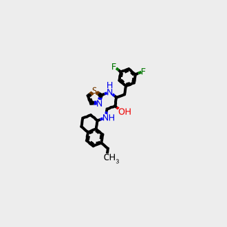 CCc1ccc2c(c1)C(NCC(O)C(Cc1cc(F)cc(F)c1)Nc1nccs1)CCC2